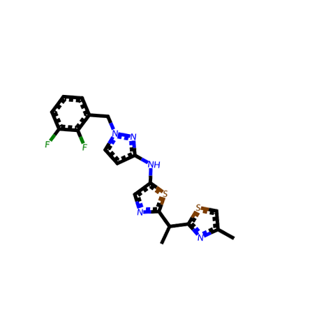 Cc1csc(C(C)c2ncc(Nc3ccn(Cc4cccc(F)c4F)n3)s2)n1